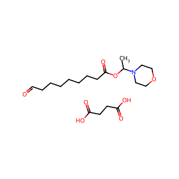 CC(OC(=O)CCCCCCCC=O)N1CCOCC1.O=C(O)CCC(=O)O